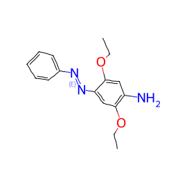 CCOc1cc(/N=N/c2ccccc2)c(OCC)cc1N